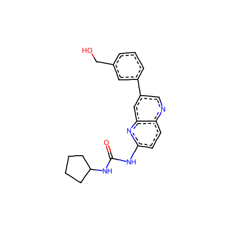 O=C(Nc1ccc2ncc(-c3cccc(CO)c3)cc2n1)NC1CCCC1